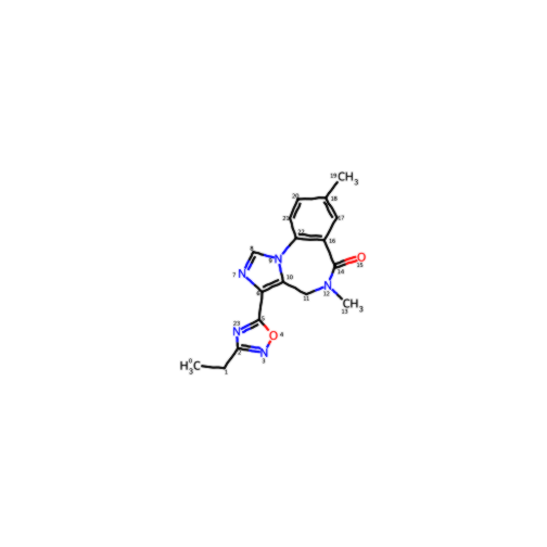 CCc1noc(-c2ncn3c2CN(C)C(=O)c2cc(C)ccc2-3)n1